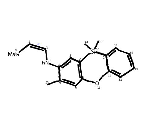 CN/C=C\Nc1cc2c(cc1C)Oc1ccccc1[Si]2(C)C